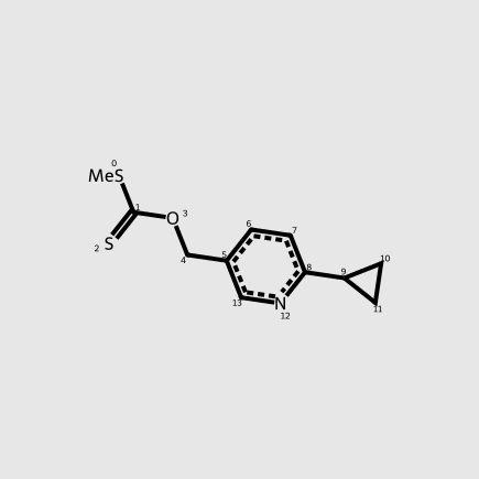 CSC(=S)OCc1ccc(C2CC2)nc1